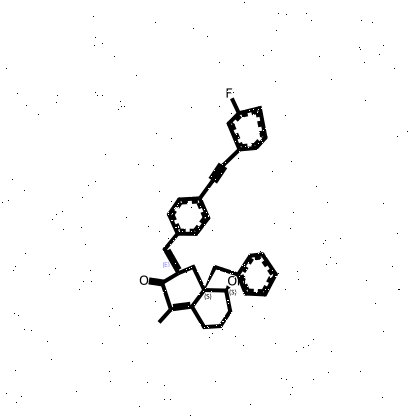 CC1=C2CCC[C@H](O)[C@@]2(Cc2ccccc2)C/C(=C\c2ccc(C#Cc3cccc(F)c3)cc2)C1=O